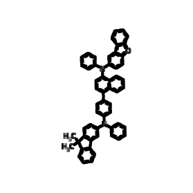 CC1(C)c2ccccc2-c2cc(N(c3ccccc3)c3ccc(-c4ccc(N(c5ccccc5)c5ccc6oc7ccccc7c6c5)c5ccccc45)cc3)ccc21